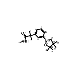 CNC(=O)C(C)(C)c1cccc(B2CC(C)(C)C(C)(C)O2)c1